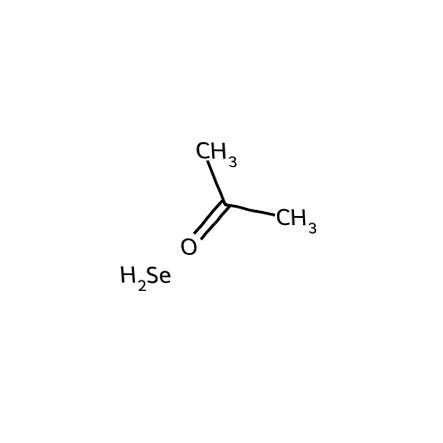 CC(C)=O.[SeH2]